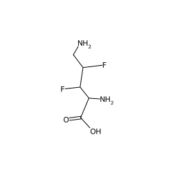 NCC(F)C(F)C(N)C(=O)O